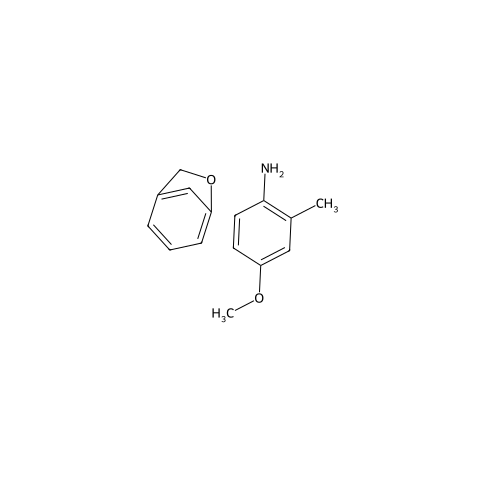 COc1ccc(N)c(C)c1.c1cc2cc(c1)OC2